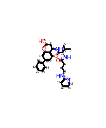 CC(C)[C@H](NC(=O)CCCNc1ccccn1)C(=O)NC(CC(=O)O)c1ccc(-c2ccccc2)cc1